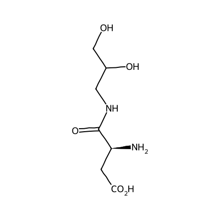 N[C@@H](CC(=O)O)C(=O)NCC(O)CO